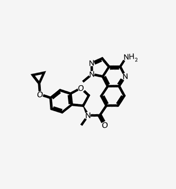 CN(C(=O)c1ccc2nc(N)c3cnn(C)c3c2c1)[C@@H]1COc2cc(OC3CC3)ccc21